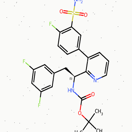 CC(C)(C)OC(=O)N[C@@H](Cc1cc(F)cc(F)c1)c1ncccc1-c1ccc(F)c(S(N)(=O)=O)c1